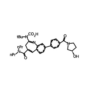 CCCN(CCC)C(=O)C1=Cc2ccc(-c3ccc(C(=O)N4CC[C@@H](O)C4)cc3)cc2N=C(N(C(=O)O)C(C)(C)C)C1